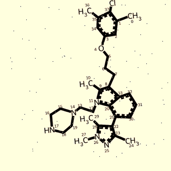 Cc1cc(OCCCc2c(C)n(CCN3CCNCC3)c3c(-c4c(C)nn(C)c4C)cccc23)cc(C)c1Cl